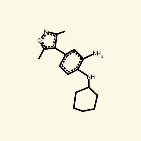 Cc1noc(C)c1-c1ccc(NC2CCCCC2)c(N)c1